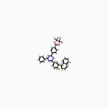 CC1(C)OB(c2ccc(-c3nc(-c4ccccc4)nc(-c4ccc5sc6ccc7ccccc7c6c5c4)n3)cc2)OC1(C)C